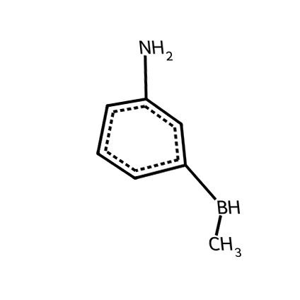 CBc1cccc(N)c1